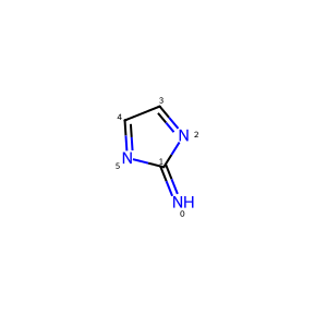 N=C1N=CC=N1